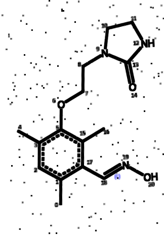 Cc1cc(C)c(OCCN2CCNC2=O)c(C)c1/C=N/O